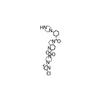 O=C(c1cccc(N2CCNCC2)c1)N1CCc2nc(S(=O)(=O)N3CCN(c4nc(Cl)cs4)CC3)ccc21